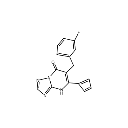 O=c1c(Cc2cccc(F)c2)c(C2=CC=C2)[nH]c2ncnn12